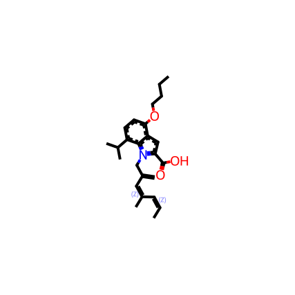 C=C(/C=C(C)\C=C/C)Cn1c(C(=O)O)cc2c(OCCCC)ccc(C(C)C)c21